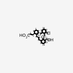 O=C(O)C=Cc1ccccc1CC=Cc1cccc(CO)c1OCc1c(Cl)cccc1Cl